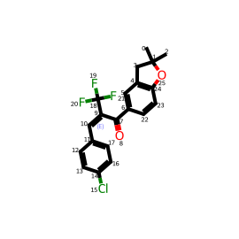 CC1(C)Cc2cc(C(=O)/C(=C\c3ccc(Cl)cc3)C(F)(F)F)ccc2O1